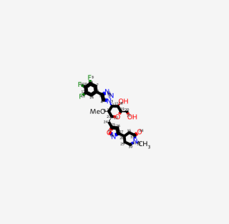 CO[C@@H]1[C@@H](n2cc(-c3cc(F)c(F)c(F)c3)nn2)[C@@H](O)[C@@H](CO)O[C@@H]1Cc1cc(C2CCN(C)C(=O)C2)no1